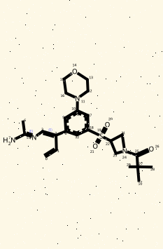 C=C/C(=C\N=C(/C)N)c1cc(N2CCOCC2)cc(S(=O)(=O)C2CN(C(=O)C(C)(C)C)C2)c1